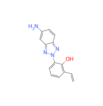 C=Cc1cccc(-n2nc3ccc(N)cc3n2)c1O